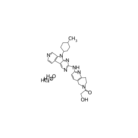 CC1CCC(n2c3cnccc3c3cnc(Nc4ccc5c(n4)CCN(C(=O)CO)C5)nc32)CC1.Cl.O.O